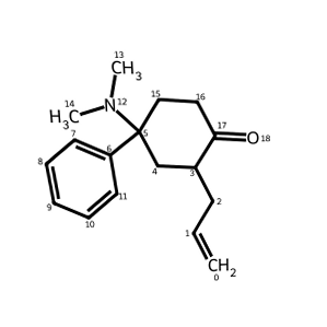 C=CCC1CC(c2ccccc2)(N(C)C)CCC1=O